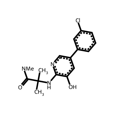 CNC(=O)C(C)(C)Nc1ncc(-c2cccc(Cl)c2)cc1O